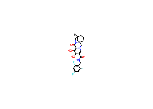 O=C(NCc1c(F)cc(F)cc1F)C1=CN2C[C@@]34CCC[C@@H](CN3C(=O)C2=C(O)C1O)C4